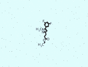 CCOC(=O)CCc1cc(-c2cc(F)cc(F)c2)n(C)n1